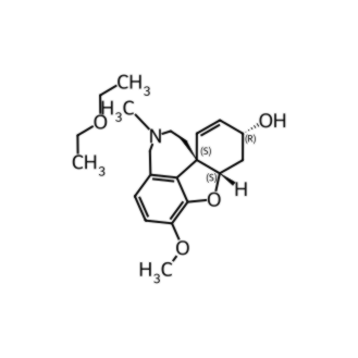 CCOCC.COc1ccc2c3c1O[C@H]1C[C@@H](O)C=C[C@@]31CCN(C)C2